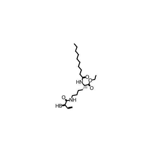 B=C(C=C)C(=O)NCCCC[C@H](NC(=O)CCCCCCCCC)C(=O)OCC